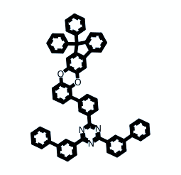 c1ccc(-c2cccc(-c3nc(-c4cccc(-c5ccccc5)c4)nc(-c4cccc(-c5cccc6c5Oc5cc7c(cc5O6)C(c5ccccc5)(c5ccccc5)c5ccccc5-7)c4)n3)c2)cc1